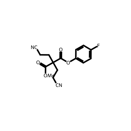 COC(=O)C(CCC#N)(CCC#N)C(=O)Oc1ccc(F)cc1